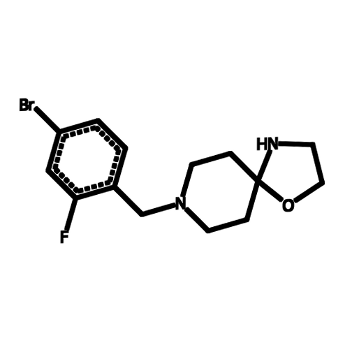 Fc1cc(Br)ccc1CN1CCC2(CC1)NCCO2